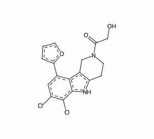 O=C(CO)N1CCc2[nH]c3c(Cl)c(Cl)cc(-c4ccco4)c3c2C1